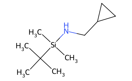 CC(C)(C)[Si](C)(C)NCC1CC1